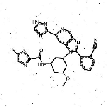 CO[C@@H]1C[C@@H](NC(=O)c2ncc(Cl)s2)C[C@@H](n2c(-c3ccccc3C#N)nc3cnc(-c4nc[nH]n4)cc32)C1